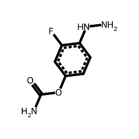 NNc1ccc(OC(N)=O)cc1F